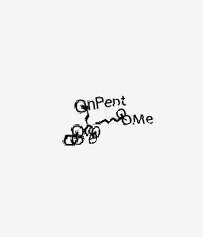 CCCCCC(=O)C=C[C@@H]1[C@@H](OC2CCCCO2)CS(=O)(=O)[C@H]1CCCCCCC(=O)OC